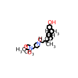 C[C@H](CCC(=O)N1CCC(CN2CCOC(C)(C)C2=O)CC1)[C@H]1CC[C@H]2[C@@H]3CC=C4C[C@@H](O)CC[C@]4(C)[C@H]3CC[C@]12C